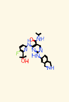 CC(C)NC(=O)c1cnc(Nc2ccc3c(c2)CNCC3)nc1Nc1ccc(F)c(C(C)(C)O)n1